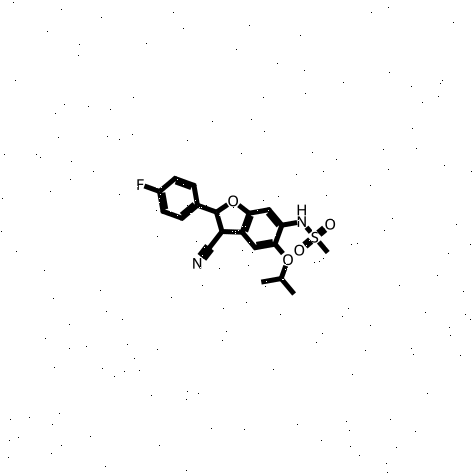 CC(C)Oc1cc2c(cc1NS(C)(=O)=O)OC(c1ccc(F)cc1)C2C#N